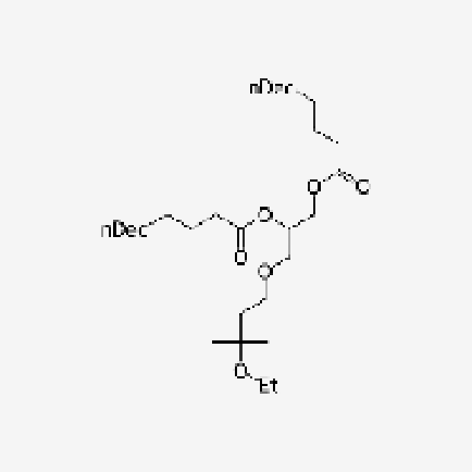 CCCCCCCCCCCCCC(=O)OCC(COCCC(C)(C)OCC)OC(=O)CCCCCCCCCCCCC